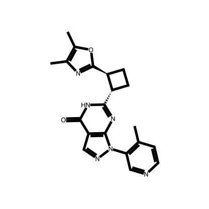 Cc1ccncc1-n1ncc2c(=O)[nH]c([C@H]3CC[C@@H]3c3nc(C)c(C)o3)nc21